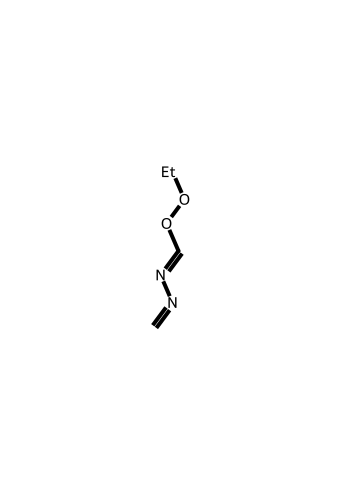 C=N/N=C/OOCC